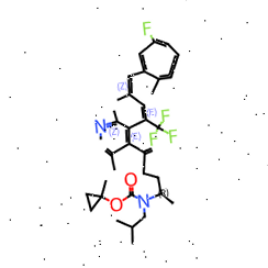 C=C(C)/C(C(=C)CC[C@@H](C)N(CC(C)C)C(=O)OC1(C)CC1)=C(C(\C)=N/C)/C(=C\C(C)=C/C1=CC(F)=CC=C=C1C)C(F)(F)F